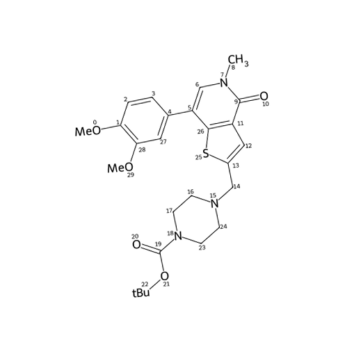 COc1ccc(-c2cn(C)c(=O)c3cc(CN4CCN(C(=O)OC(C)(C)C)CC4)sc23)cc1OC